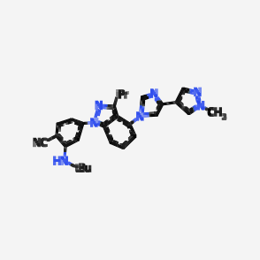 CC(C)c1nn(-c2ccc(C#N)c(NC(C)(C)C)c2)c2cccc(-n3cnc(-c4cnn(C)c4)c3)c12